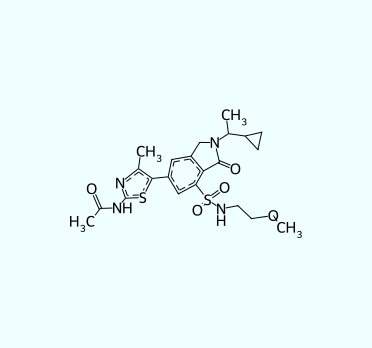 COCCNS(=O)(=O)c1cc(-c2sc(NC(C)=O)nc2C)cc2c1C(=O)N(C(C)C1CC1)C2